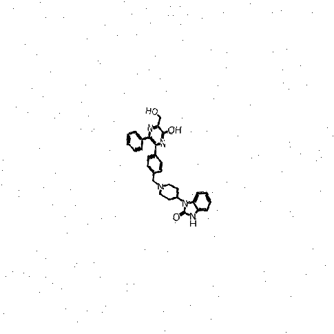 O=c1[nH]c2ccccc2n1C1CCN(Cc2ccc(-c3nc(O)c(CO)nc3-c3ccccc3)cc2)CC1